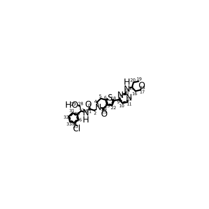 O=C(CN1CCc2sc(-c3ccnc(NC4CCOCC4)n3)cc2C1=O)N[C@H](CO)c1cccc(Cl)c1